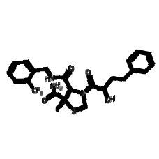 CC1(C(N)=O)SCN(C(=O)C(O)[CH]Cc2ccccc2)C1C(=O)NCc1ccccc1C(F)(F)F